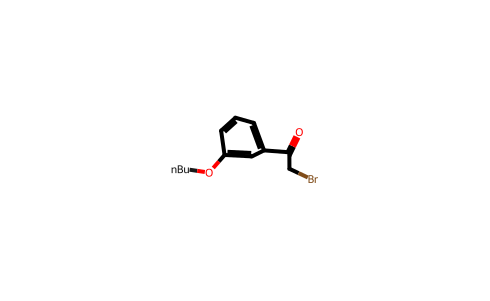 CCCCOc1cccc(C(=O)CBr)c1